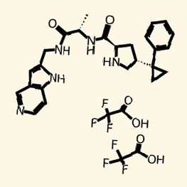 C[C@H](NC(=O)[C@H]1C[C@H](C2(c3ccccc3)CC2)CN1)C(=O)NCc1cc2cnccc2[nH]1.O=C(O)C(F)(F)F.O=C(O)C(F)(F)F